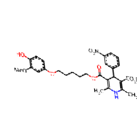 CCOC(=O)C1=C(C)NC(C)=C(C(=O)OCCCCCOc2ccc(O)c(OC)c2)C1c1cccc([N+](=O)[O-])c1